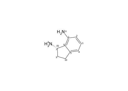 Nc1cccc2c1[C@@H](N)CC2